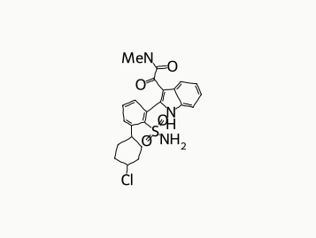 CNC(=O)C(=O)c1c(-c2cccc(C3CCC(Cl)CC3)c2S(N)(=O)=O)[nH]c2ccccc12